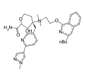 CCCCc1cc2ccccc2c(OCC[N+](C)(C)[C@@]2(Cc3ccc(-c4cnn(C)c4)nc3)CCOC(C(N)=O)[C@@H]2O)n1